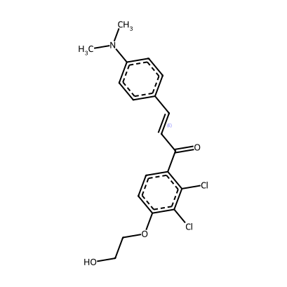 CN(C)c1ccc(/C=C/C(=O)c2ccc(OCCO)c(Cl)c2Cl)cc1